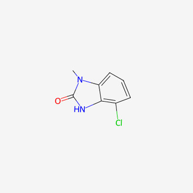 Cn1c(=O)[nH]c2c(Cl)cccc21